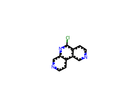 Clc1nc2cnccc2c2cnccc12